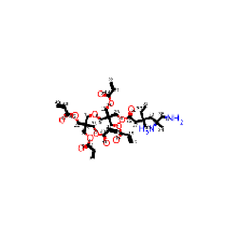 C=CC(=O)OCC(COCC(COC(=O)C=C)(COC(=O)C=C)COC(=O)CC(C)(CC)CC(C)(N)CN)(COC(=O)C=C)COC(=O)C=C